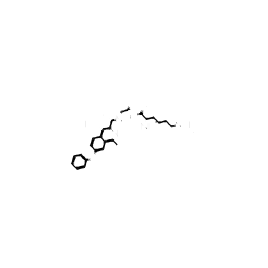 Cc1nc(C(=O)NCC(=O)OC(=O)[C@@H](N)CCCCN)c(O)c2ccc(Oc3ccccc3)cc12